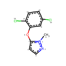 Cn1n[c]cc1Oc1cc(Cl)ccc1Cl